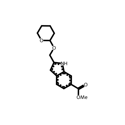 COC(=O)c1ccc2cc(COC3CCCCO3)[nH]c2c1